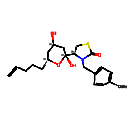 C=CCCC[C@@H]1C[C@@H](O)C[C@](O)([C@@H]2CSC(=O)N2Cc2ccc(OC)cc2)O1